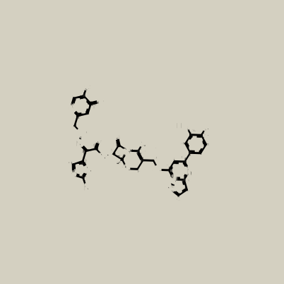 Nc1nc(/C(=N/OCc2cc(=O)c(O)co2)C(=O)N[C@@H]2C(=O)N3C(C(=O)O)=C(CSc4cc(-c5ccc(O)c(O)c5)nc5ccnn45)CS[C@H]23)cs1